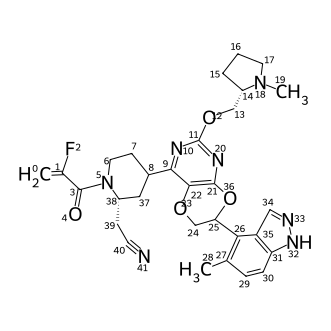 C=C(F)C(=O)N1CCC(c2nc(OC[C@@H]3CCCN3C)nc3c2OCC(c2c(C)ccc4[nH]ncc24)O3)C[C@@H]1CC#N